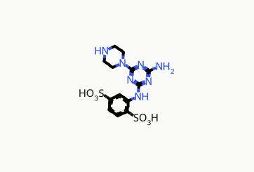 Nc1nc(Nc2cc(S(=O)(=O)O)ccc2S(=O)(=O)O)nc(N2CCNCC2)n1